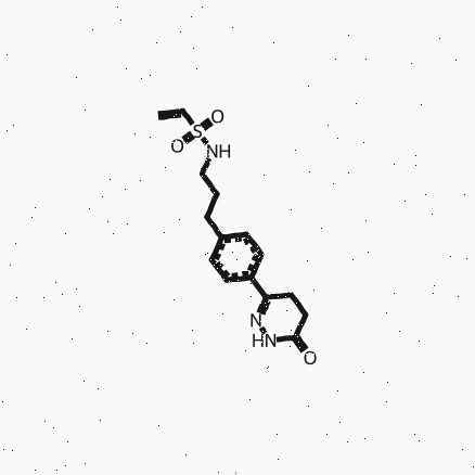 C=CS(=O)(=O)NCCCc1ccc(C2=NNC(=O)CC2)cc1